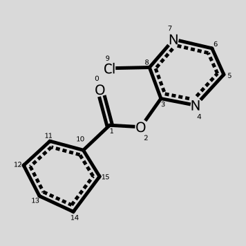 O=C(Oc1nccnc1Cl)c1ccccc1